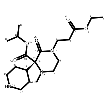 CCOC(=O)CCN1CCN(C)[C@@](C(=O)OC(C)C)(C2CCNCC2)C1=O